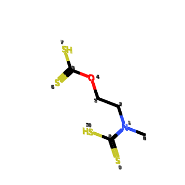 CN(CCOC(=S)S)C(=S)S